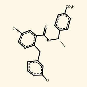 C[C@H](NC(=O)c1cc(Cl)cnc1Cc1cccc(Cl)c1)c1ccc(C(=O)O)cc1